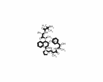 CO[C@H]([C@@H](C)C(=O)N[C@H](C)[C@@H](O)c1ccccc1)[C@@H]1CCCN1C(=O)C[C@@H](OC)[C@H](c1ccccc1)N(C)C(=O)[C@@H](NC(=O)C(C)(C)N)C(C)C